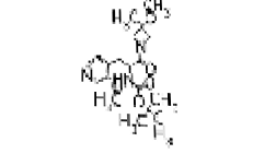 COc1cnccc1CC(NC(=O)OC(C)(C)C)C(=O)N1CC(C)(OC)C1